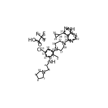 Cc1c(NCCN2CCCC2)cc(Cl)cc1N1CCN(c2ncnc3[nH]nc(C4CC4)c23)CC1.O=C(O)C(F)(F)F